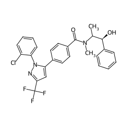 CC([C@@H](O)c1ccccc1)N(C)C(=O)c1ccc(-c2cc(C(F)(F)F)nn2-c2ccccc2Cl)cc1